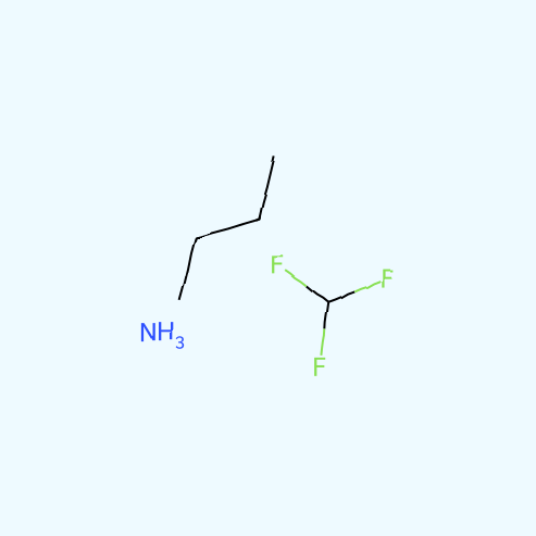 CCCC.FC(F)F.N